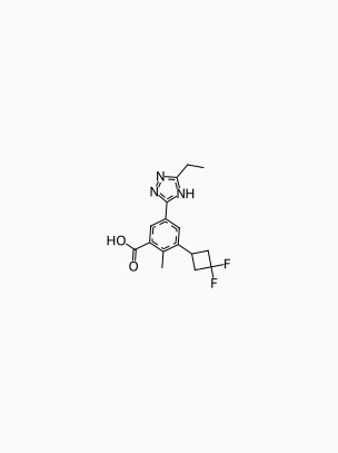 CCc1nnc(-c2cc(C(=O)O)c(C)c(C3CC(F)(F)C3)c2)[nH]1